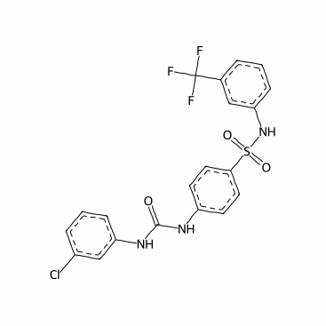 O=C(Nc1ccc(S(=O)(=O)Nc2cccc(C(F)(F)F)c2)cc1)Nc1cccc(Cl)c1